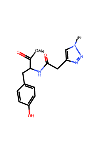 COC(=O)C(Cc1ccc(O)cc1)NC(=O)Cc1cn(C(C)C)nn1